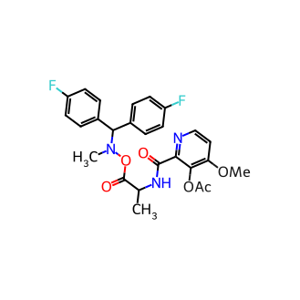 COc1ccnc(C(=O)NC(C)C(=O)ON(C)C(c2ccc(F)cc2)c2ccc(F)cc2)c1OC(C)=O